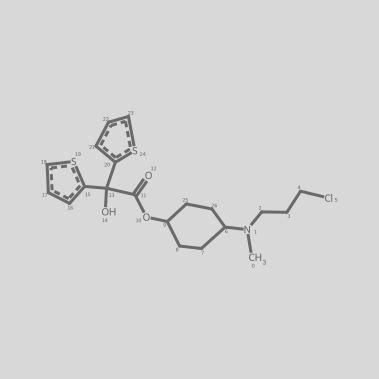 CN(CCCCl)C1CCC(OC(=O)C(O)(c2cccs2)c2cccs2)CC1